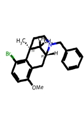 COc1ccc(Br)c2c1C[C@H]1N(Cc3ccccc3)CC[C@@]2(C)C1(C)C